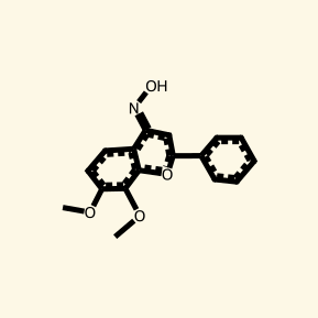 COc1ccc2/c(=N/O)cc(-c3ccccc3)oc2c1OC